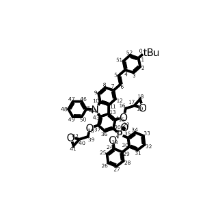 CC(C)(C)c1ccc(/C=C/c2ccc3c(c2)c2c(OCC4CO4)c(P4(=O)Oc5ccccc5-c5ccccc54)cc(OCC4CO4)c2n3-c2ccccc2)cc1